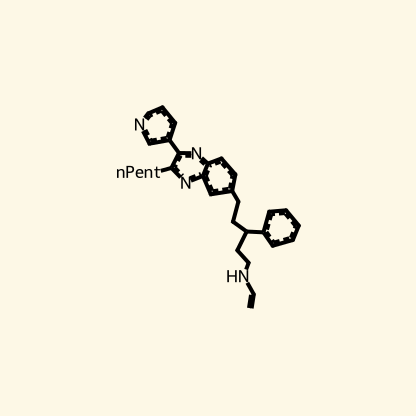 C=CNCCC(CCc1ccc2nc(-c3cccnc3)c(CCCCC)nc2c1)c1ccccc1